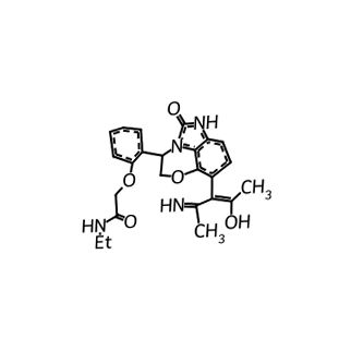 CCNC(=O)COc1ccccc1C1COc2c(/C(C(C)=N)=C(\C)O)ccc3[nH]c(=O)n1c23